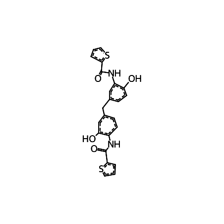 O=C(Nc1ccc(Cc2ccc(O)c(NC(=O)c3cccs3)c2)cc1O)c1cccs1